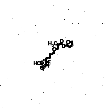 C=C(COCCCCC(F)(F)C(F)(F)S(=O)(=O)O)C(=O)OC1CCCO1